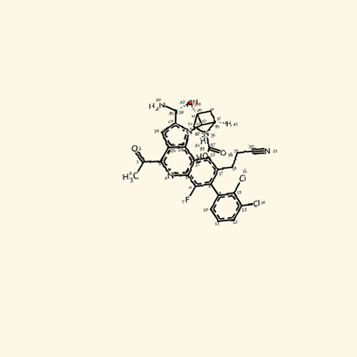 CC(=O)c1nc2c(F)c(-c3cccc(Cl)c3Cl)c(CCC#N)cc2c2c1cc([C@@H](C)N)n2[C@H]1[C@@H]2C[C@H]1N(C(=O)O)C2